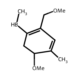 CBC1=C(COC)C=C(C)C(OC)C1